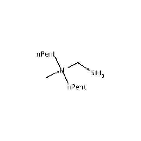 CCCCC[N+](C)(C[SiH3])CCCCC